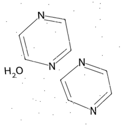 O.c1cnccn1.c1cnccn1